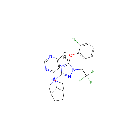 Cc1cc(N2CC3CCC(C2)C3Nc2nc(Oc3ccccc3Cl)n(CC(F)(F)F)n2)ncn1